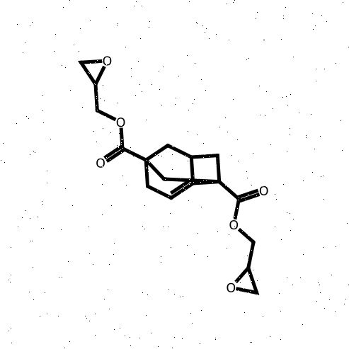 O=C(OCC1CO1)C12CC=C3C(C1)CC3(C(=O)OCC1CO1)C2